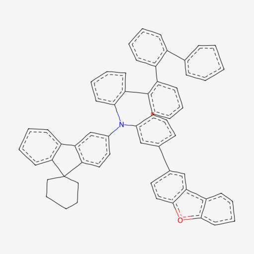 c1ccc(-c2ccccc2-c2ccccc2-c2ccccc2N(c2cccc(-c3ccc4oc5ccccc5c4c3)c2)c2ccc3c(c2)-c2ccccc2C32CCCCC2)cc1